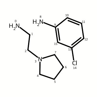 NCCN1CCCC1.Nc1cccc(Cl)c1